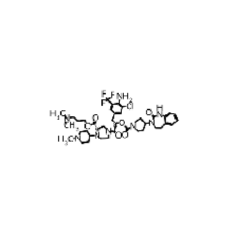 CN(C)CCCOC(=O)[C@@H]1CN(C(=O)[C@@H](Cc2cc(Cl)c(N)c(C(F)(F)F)c2)OC(=O)N2CCC(N3CCc4ccccc4NC3=O)CC2)CCN1C1CCN(C)CC1